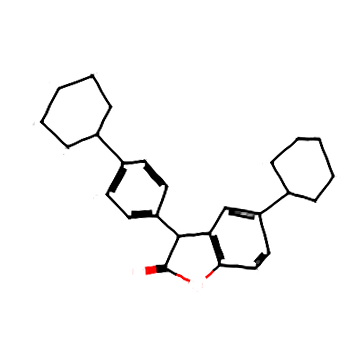 O=C1Oc2ccc(C3CCCCC3)cc2C1c1ccc(C2CCCCC2)cc1